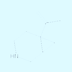 C=C(C)C12CCNCC1C2